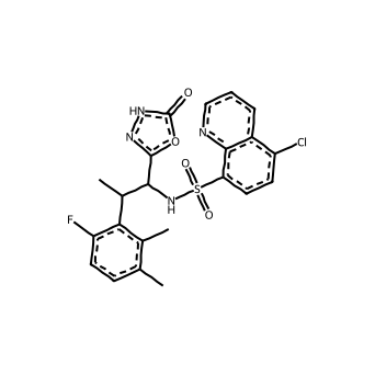 Cc1ccc(F)c(C(C)C(NS(=O)(=O)c2ccc(Cl)c3cccnc23)c2n[nH]c(=O)o2)c1C